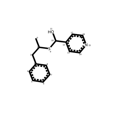 CC(Cc1ccccc1)SC(O)c1ccncc1